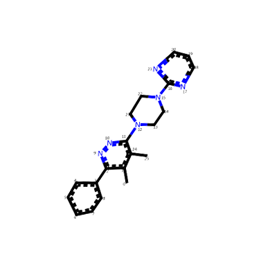 Cc1c(-c2ccccc2)nnc(N2CCN(c3ncccn3)CC2)c1C